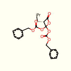 CC(C)C[C@@H]1C(=O)OC1(OC(=O)OCc1ccccc1)OC(=O)OCc1ccccc1